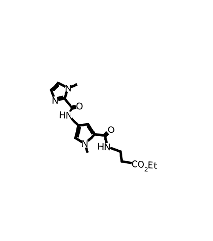 CCOC(=O)CCNC(=O)c1cc(NC(=O)c2nccn2C)cn1C